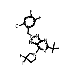 CC(C)(C)c1nc(N2CCC(F)(F)C2)c2nn(Cc3cc(F)c(F)cc3Cl)nc2n1